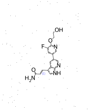 NC(=O)/C=C/c1c[nH]c2ncc(-c3cnc(OCCO)c(F)c3)cc12